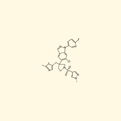 Cc1ncc(CC2(c3cc4cnn(-c5ccc(F)cc5)c4cc3Cl)CCN(S(=O)(=O)c3cnn(C)c3)C2)s1